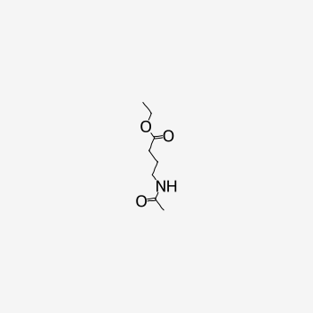 CCOC(=O)CCCNC(C)=O